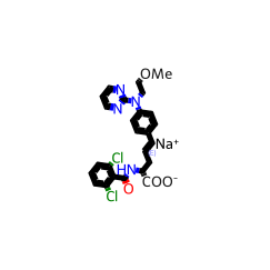 COCCN(c1ccc(/C=C/CC(NC(=O)c2c(Cl)cccc2Cl)C(=O)[O-])cc1)c1ncccn1.[Na+]